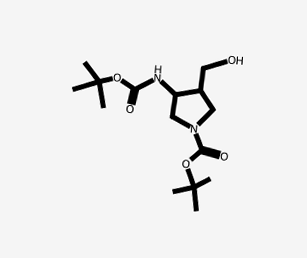 CC(C)(C)OC(=O)NC1CN(C(=O)OC(C)(C)C)CC1CO